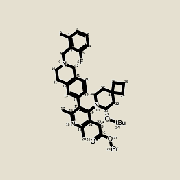 Cc1cccc(F)c1CN1CCc2cc(-c3c(C)nc(C)c([C@H](OC(C)(C)C)C(=O)OC(C)C)c3N3CCC4(CCC4)CC3)ccc2C1